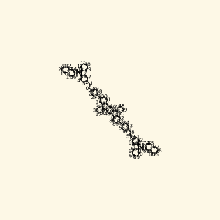 C(=C\c1ccc2c(c1)c1ccccc1n2-c1ccc2ccccc2c1)/c1ccc(-c2ccc3c(c2)C2(CCCC2)c2cc4c(cc2-3)C2(CCCC2)c2cc(-c3ccc(/C=C/c5ccc6c(c5)c5ccccc5n6-c5ccc6ccccc6c5)cc3)ccc2-4)cc1